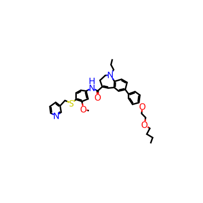 CCCCOCCOc1ccc(-c2ccc3c(c2)C=C(C(=O)Nc2ccc(SCc4cccnc4)c(OC)c2)CCN3CCC)cc1